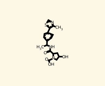 Cc1ncsc1-c1ccc(C(C)NC(=O)C2CC(O)CN2C(=O)O)cc1